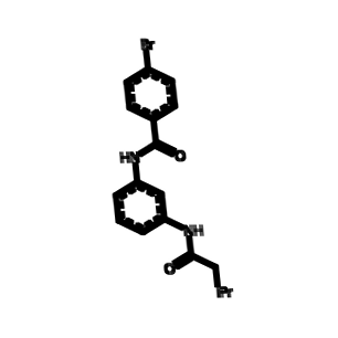 CC(C)CC(=O)Nc1cccc(NC(=O)c2ccc(Br)cc2)c1